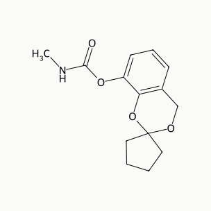 CNC(=O)Oc1cccc2c1OC1(CCCC1)OC2